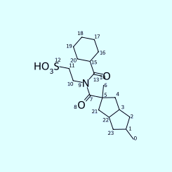 CC1CC2CC(C)(C(=O)N(CCS(=O)(=O)O)C(=O)C3CCCCC3)CC2C1